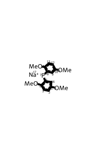 COc1ccc(OC)c([P-]c2cc(OC)ccc2OC)c1.[Na+]